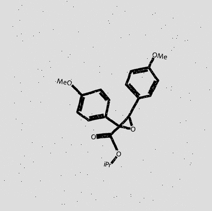 COc1ccc(C2OC2(C(=O)OC(C)C)c2ccc(OC)cc2)cc1